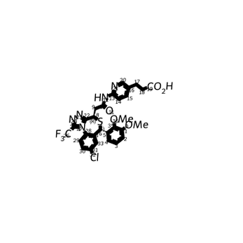 COc1cccc([C@H]2S[C@H](CC(=O)Nc3ccc(CCC(=O)O)cn3)c3nnc(C(F)(F)F)n3-c3ccc(Cl)cc32)c1OC